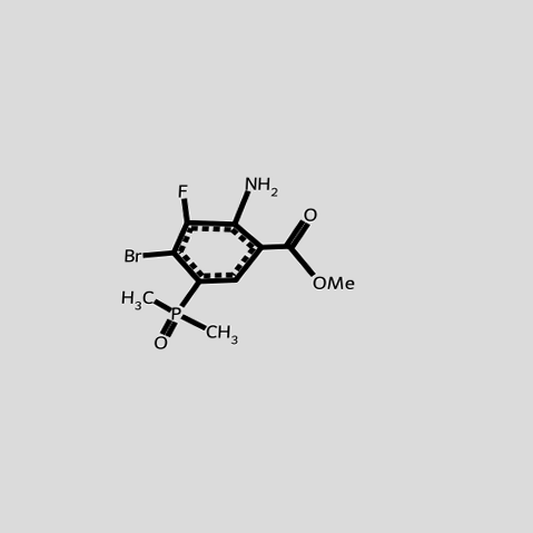 COC(=O)c1cc(P(C)(C)=O)c(Br)c(F)c1N